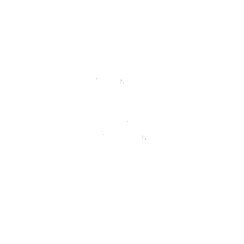 Cc1cncc(-c2cc(-c3cncc(C)c3)c3c4c2Oc2c(-c5ccccc5)cccc2P4(=S)c2cccc(-c4ccccc4)c2O3)c1